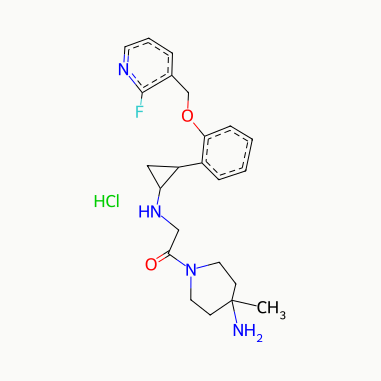 CC1(N)CCN(C(=O)CNC2CC2c2ccccc2OCc2cccnc2F)CC1.Cl